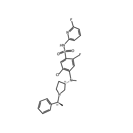 C[C@@H](c1ccccc1)N1CC[C@H](N(C)c2cc(F)c(S(=O)(=O)Nc3cccc(F)n3)cc2Cl)C1